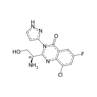 N[C@@H](CO)c1nc2c(Cl)cc(F)cc2c(=O)n1-c1cc[nH]n1